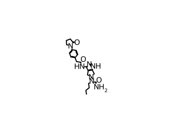 CCCCN(C(N)=O)N1Cc2[nH]nc(NC(=O)Cc3ccc(N4CCCC4=O)cc3)c2C1